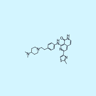 Cc1nc(-c2cc3cc[nH]c(=O)c3c(Nc3ccc(CCN4CCC(N(C)C)CC4)cc3)n2)cs1